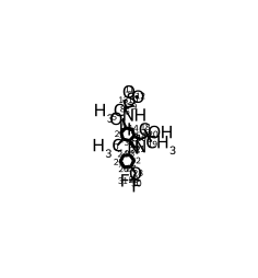 Cc1cc(C(=O)NC2(C)CS(=O)(=O)C2)cc2c(C(C)(C)O)nn(-c3cccc(OC(F)F)c3)c12